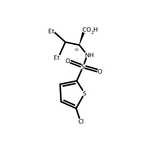 CCC(CC)[C@H](NS(=O)(=O)c1ccc(Cl)s1)C(=O)O